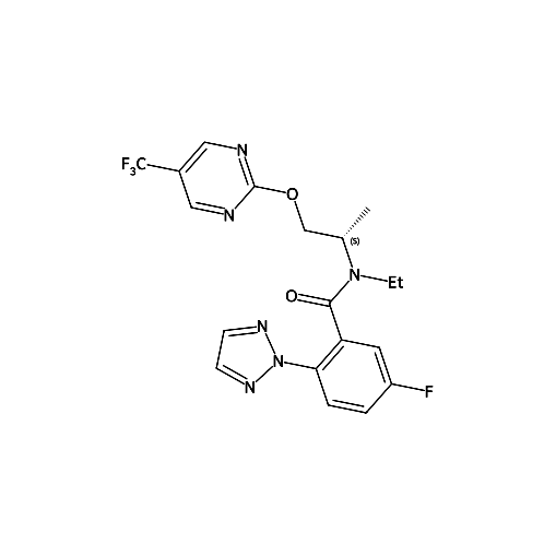 CCN(C(=O)c1cc(F)ccc1-n1nccn1)[C@@H](C)COc1ncc(C(F)(F)F)cn1